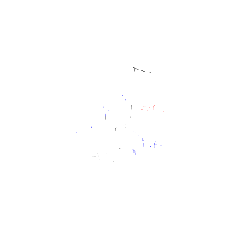 Cc1n[nH]c2c(=O)n(C3CC3)nc(N)c12